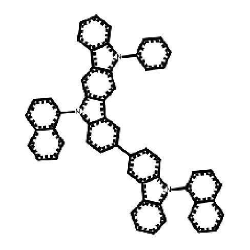 c1ccc(-n2c3ccccc3c3cc4c(cc32)c2cc(-c3ccc5c(c3)c3ccccc3n5-c3cccc5ccccc35)ccc2n4-c2cccc3ccccc23)cc1